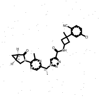 Cc1nc([C@@H](C)n2cc(C(=O)NC3CC(C)(c4cc(Cl)ccc4C#N)C3)nn2)cnc1N1C[C@H]2C[C@H]2C1=O